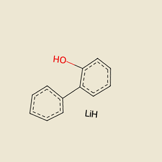 Oc1ccccc1-c1ccccc1.[LiH]